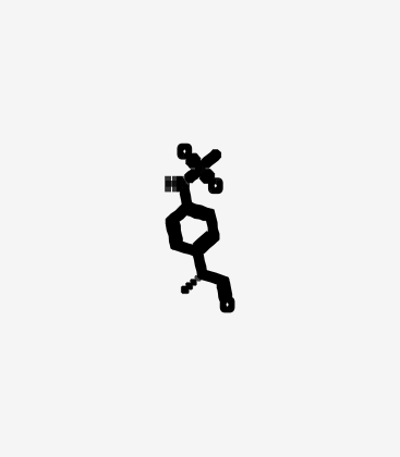 C[C@@H](C=O)c1ccc(NS(C)(=O)=O)cc1